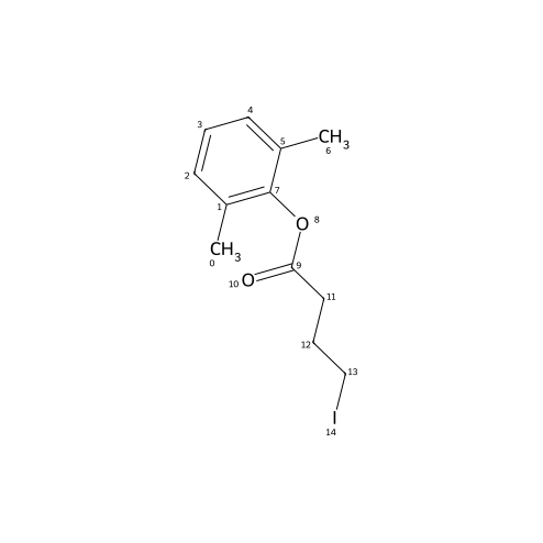 Cc1cccc(C)c1OC(=O)CCCI